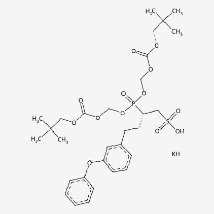 CC(C)(C)COC(=O)OCOP(=O)(OCOC(=O)OCC(C)(C)C)[C@@H](CCc1cccc(Oc2ccccc2)c1)CS(=O)(=O)O.[KH]